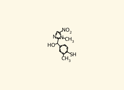 Cc1cc(C(O)c2ncc([N+](=O)[O-])n2C)ccc1S